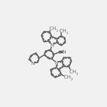 Cc1cccc2c1c1c(C)cccc1n2-c1cc(-c2cccnc2)cc(-n2c3cccc(C)c3c3c(C)cccc32)c1C#N